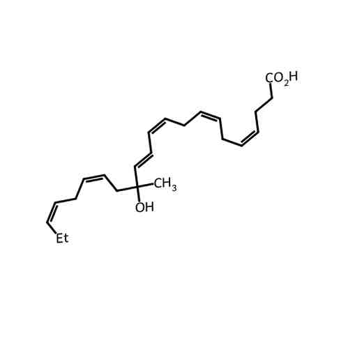 CC/C=C\C/C=C\CC(C)(O)/C=C/C=C\C/C=C\C/C=C\CCC(=O)O